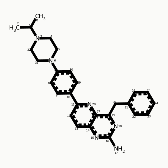 CC(C)N1CCN(c2ccc(-c3ccc4nc(N)nc(Cc5ccccc5)c4n3)cc2)CC1